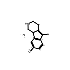 CC1=C2CCNCC2c2cc(Cl)ccc21.Cl